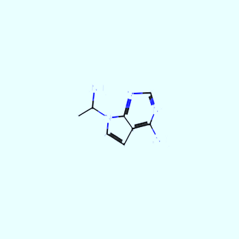 CC(N)n1ccc2c(N)ncnc21